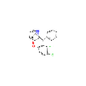 O=C1C2CCN(CC2)C1C(c1ccccc1)c1cccc(Cl)c1Cl